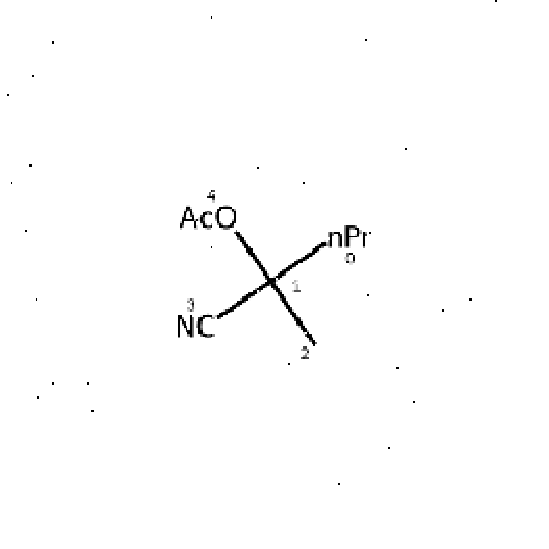 CCCC(C)(C#N)OC(C)=O